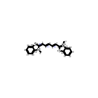 CN1\C(=C/C=C/C=C/c2sc3ccccc3[n+]2C)Sc2ccccc21